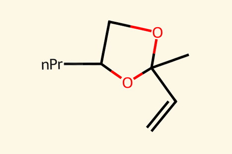 C=CC1(C)OCC(CCC)O1